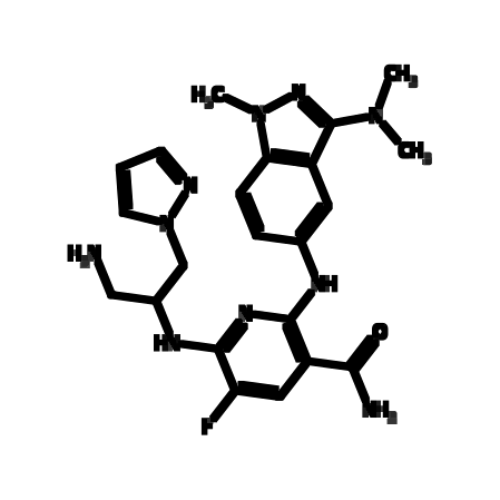 CN(C)c1nn(C)c2ccc(Nc3nc(NC(CN)Cn4cccn4)c(F)cc3C(N)=O)cc12